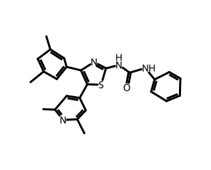 Cc1cc(C)cc(-c2nc(NC(=O)Nc3ccccc3)sc2-c2cc(C)nc(C)c2)c1